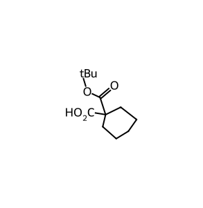 CC(C)(C)OC(=O)C1(C(=O)O)CCCCC1